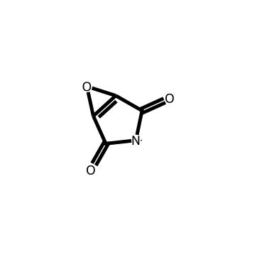 O=C1[N]C(=O)C2=C1O2